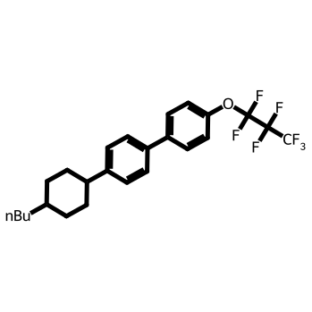 CCCCC1CCC(c2ccc(-c3ccc(OC(F)(F)C(F)(F)C(F)(F)F)cc3)cc2)CC1